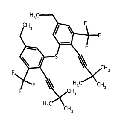 CCc1cc(Sc2cc(CC)cc(C(F)(F)F)c2C#CC(C)(C)C)c(C#CC(C)(C)C)c(C(F)(F)F)c1